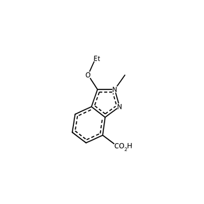 CCOc1c2cccc(C(=O)O)c2nn1C